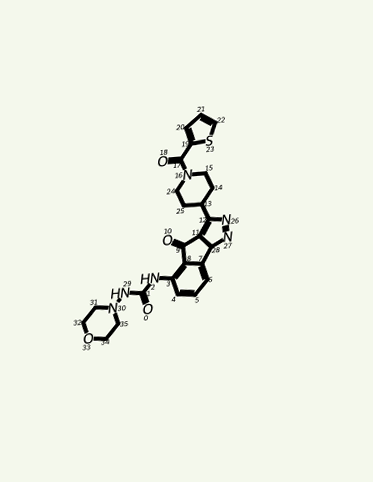 O=C(Nc1cccc2c1C(=O)C1=C(C3CCN(C(=O)c4cccs4)CC3)N=NC12)NN1CCOCC1